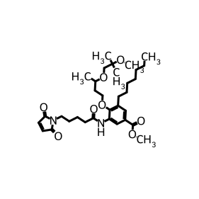 CCCCCCCc1cc(C(=O)OC)cc(NC(=O)CCCCN2C(=O)C=CC2=O)c1OCCC(C)OCC(C)(C)OC